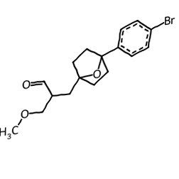 COCC(C=O)CC12CCC(c3ccc(Br)cc3)(CC1)O2